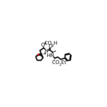 CCOC(=O)[C@@H](CCc1ccccc1)N[C@H](C)C(=O)N1C[C@]2(CC3CCC2CC3)C[C@H]1OC(=O)O